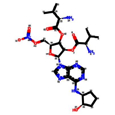 CC(C)[C@H](N)C(=O)O[C@@H]1[C@H](OC(=O)[C@@H](N)C(C)C)[C@@H](CO[N+](=O)[O-])O[C@H]1n1cnc2c(N[C@H]3CCC[C@@H]3O)ncnc21